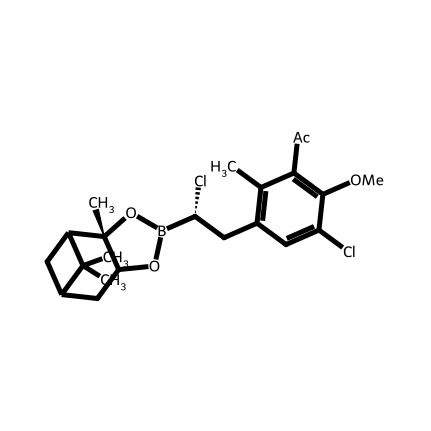 COc1c(Cl)cc(C[C@@H](Cl)B2OC3CC4CC(C4(C)C)[C@]3(C)O2)c(C)c1C(C)=O